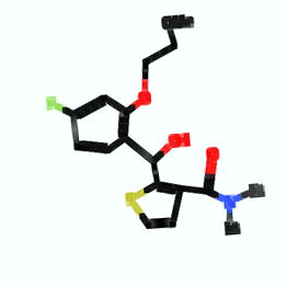 CCN(CC)C(=O)c1ccsc1C(O)c1ccc(F)cc1OCCOC